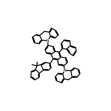 CC1(C)c2ccccc2-c2ccc(-c3c4cc(N5c6ccccc6Cc6ccccc65)ccc4c(-c4cccc5ccccc45)c4cc(N5c6ccccc6Cc6ccccc65)ccc34)cc21